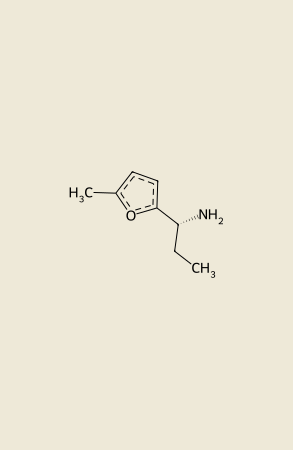 CC[C@@H](N)c1ccc(C)o1